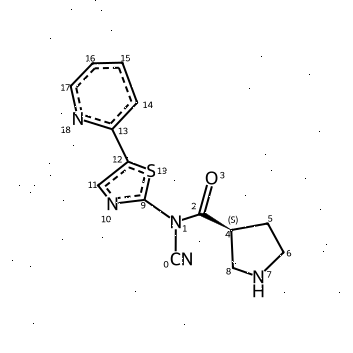 N#CN(C(=O)[C@H]1CCNC1)c1ncc(-c2ccccn2)s1